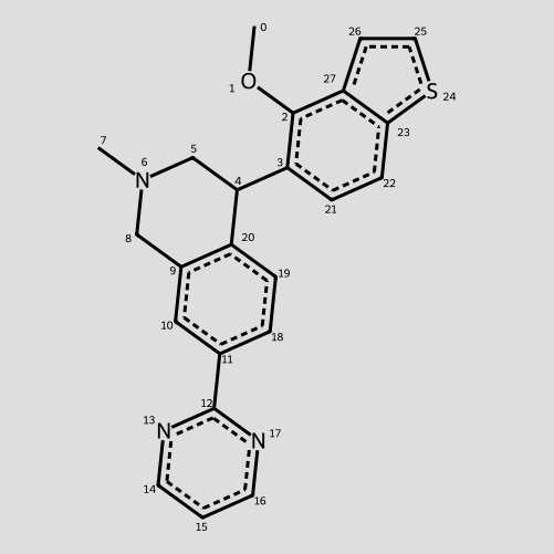 COc1c(C2CN(C)Cc3cc(-c4ncccn4)ccc32)ccc2sccc12